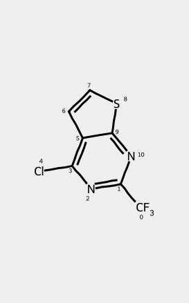 FC(F)(F)c1nc(Cl)c2ccsc2n1